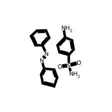 Nc1ccc(S(N)(=O)=O)cc1.c1ccc(N=Nc2ccccc2)cc1